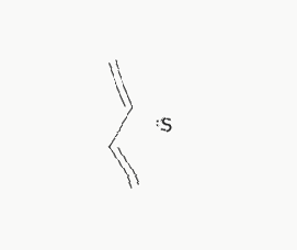 C=CC=C.[S]